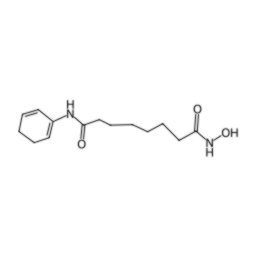 O=C(CCCCCCC(=O)NC1=CCCC=C1)NO